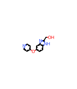 OCc1nc2cc(Oc3ccncc3)ccc2[nH]1